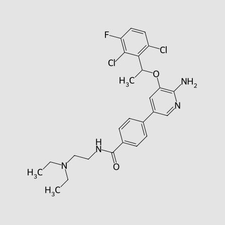 CCN(CC)CCNC(=O)c1ccc(-c2cnc(N)c(OC(C)c3c(Cl)ccc(F)c3Cl)c2)cc1